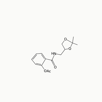 CC(=O)Oc1ccccc1C(=O)NCC1COC(C)(C)O1